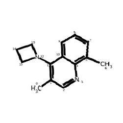 Cc1cnc2c(C)cccc2c1N1CCC1